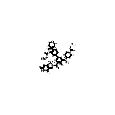 CCN(c1cc(-c2ccc3c(c2)N(C(=O)OC(C)(C)C)CC32CCOCC2)cc(C(=O)NCc2c(OC)cc(C)[nH]c2=O)c1C)C1CCN(C(=O)OC(C)(C)C)CC1